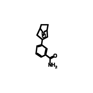 NC(=O)c1cccc(C2CC3CCC(C2)N3Cl)c1